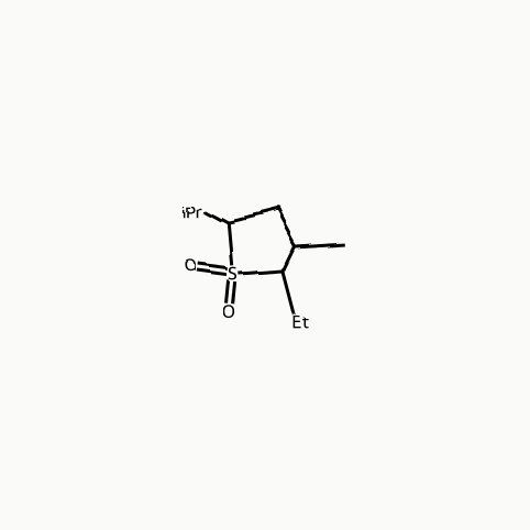 CCC1C(C)CC(C(C)C)S1(=O)=O